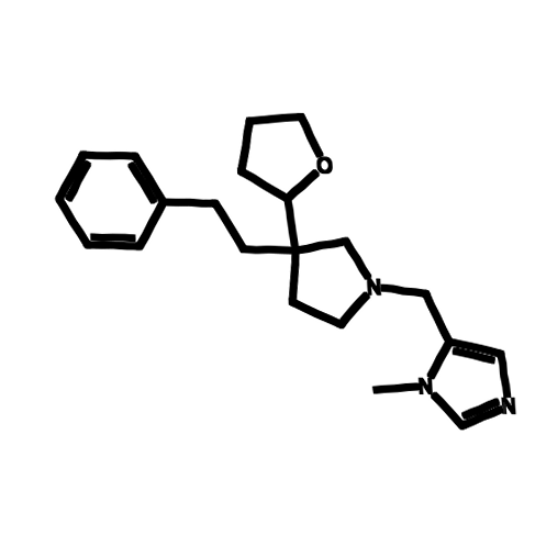 Cn1cncc1CN1CCC(CCc2ccccc2)(C2CCCO2)C1